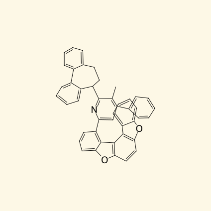 Cc1c(-c2ccccc2)cc(-c2cccc3oc4ccc5oc6ccccc6c5c4c23)nc1C1CCc2ccccc2-c2ccccc21